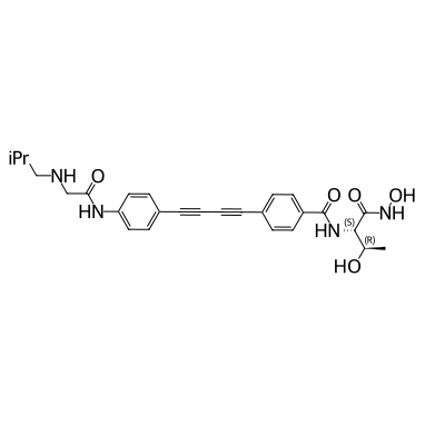 CC(C)CNCC(=O)Nc1ccc(C#CC#Cc2ccc(C(=O)N[C@H](C(=O)NO)[C@@H](C)O)cc2)cc1